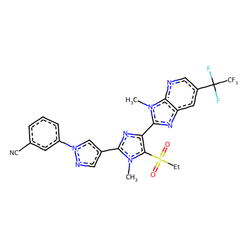 CCS(=O)(=O)c1c(-c2nc3cc(C(F)(F)C(F)(F)F)cnc3n2C)nc(-c2cnn(-c3cccc(C#N)c3)c2)n1C